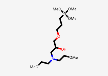 COCCN(CCOC)CC(O)COCCC[Si](OC)(OC)OC